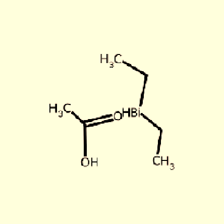 CC(=O)O.C[CH2][BiH][CH2]C